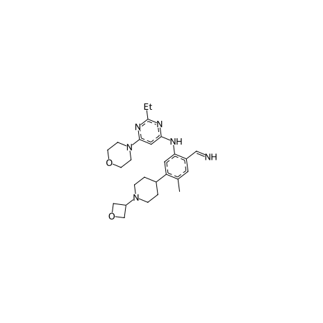 CCc1nc(Nc2cc(C3CCN(C4COC4)CC3)c(C)cc2C=N)cc(N2CCOCC2)n1